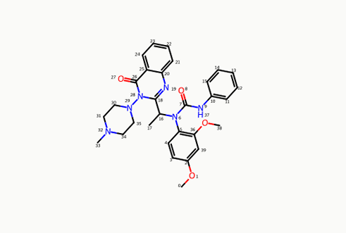 COc1ccc(N(C(=O)Nc2ccccc2)C(C)c2nc3ccccc3c(=O)n2N2CCN(C)CC2)c(OC)c1